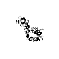 CNC(=O)COc1cc2cc(Nc3nc(N4CCC(O[C@H]5C[C@H](N6CCN(c7ccc8c(c7F)[C@H](C)N([C@H]7CCC(=O)NC7=O)C8=O)[C@H](C)C6)C5)CC4)ncc3Cl)ccc2n(C(C)C)c1=O